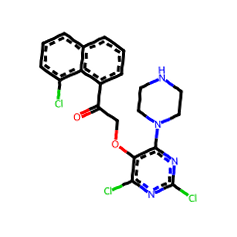 O=C(COc1c(Cl)nc(Cl)nc1N1CCNCC1)c1cccc2cccc(Cl)c12